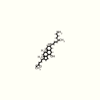 COC(=O)CCCC1CCC2C3C(O)CC4CC(NCCCN(C)CCCN)CCC4(C)C3CCC12C